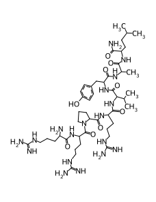 CC(C)CCC(NC(=O)C(C)NC(=O)C(Cc1ccc(O)cc1)NC(=O)C(NC(=O)C(CCCNC(=N)N)NC(=O)C1CCCN1C(=O)C(CCCNC(=N)N)NC(=O)C(N)CCCNC(=N)N)C(C)C)C(N)=O